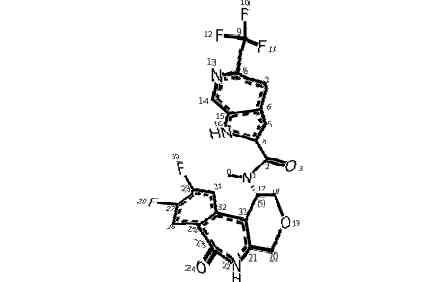 CN(C(=O)c1cc2cc(C(F)(F)F)ncc2[nH]1)[C@@H]1COCc2[nH]c(=O)c3cc(F)c(F)cc3c21